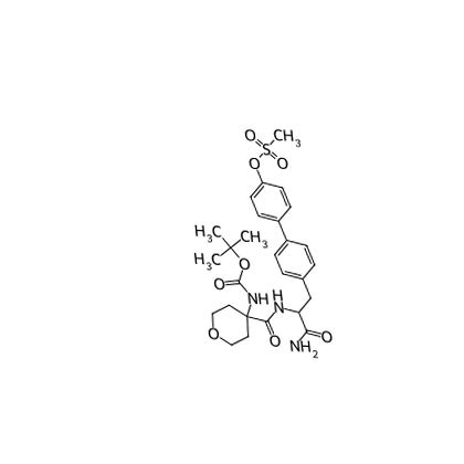 CC(C)(C)OC(=O)NC1(C(=O)NC(Cc2ccc(-c3ccc(OS(C)(=O)=O)cc3)cc2)C(N)=O)CCOCC1